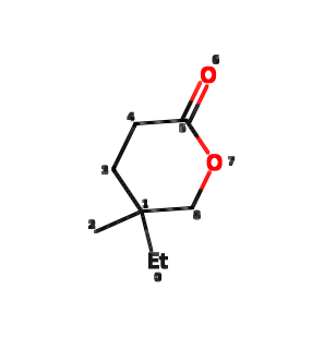 CCC1(C)CCC(=O)OC1